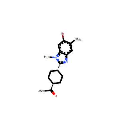 COc1cc2nc([C@H]3CC[C@H](C(=O)OC)CC3)n(C)c2cc1Br